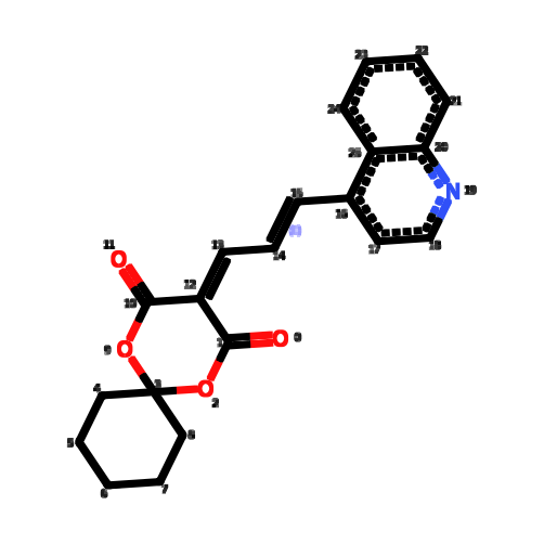 O=C1OC2(CCCCC2)OC(=O)C1=C/C=C/c1ccnc2ccccc12